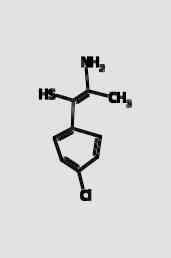 C/C(N)=C(/S)c1ccc(Cl)cc1